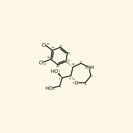 OC[C@@H](O)[C@H]1OCCNC[C@H]1c1ccc(Cl)c(Cl)c1